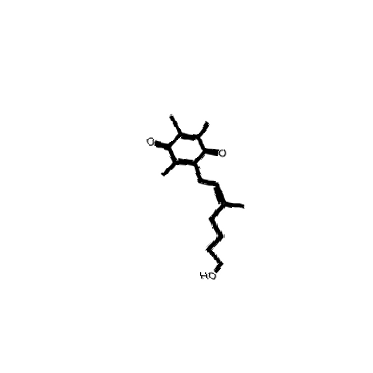 CC(=CCC1=C(C)C(=O)C(C)=C(C)C1=O)CCCCO